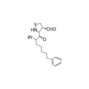 CC(C)C(CCCCCc1ccccc1)C(=O)C1NSC[C@H]1C=O